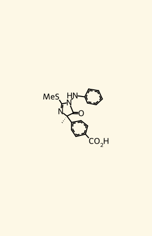 CSC1=N[C@](C)(c2ccc(C(=O)O)cc2)C(=O)N1Nc1ccccc1